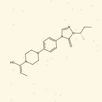 C/C=C(/O)N1CCN(c2ccc(-n3cnn([C@@H](C)CC)c3=O)cc2)CC1